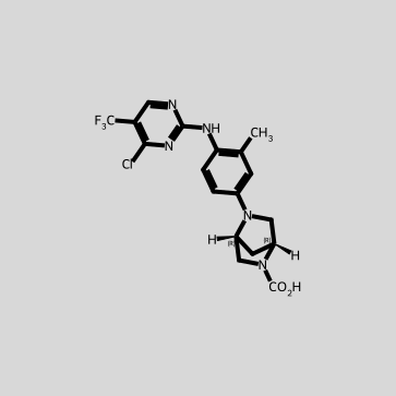 Cc1cc(N2C[C@H]3C[C@@H]2CN3C(=O)O)ccc1Nc1ncc(C(F)(F)F)c(Cl)n1